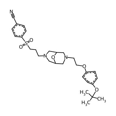 CC(C)(C)Oc1ccc(OCCN2CC3CN(CCCS(=O)(=O)c4ccc(C#N)cc4)CC(C2)O3)cc1